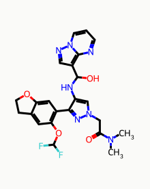 CN(C)C(=O)Cn1cc(NC(O)c2cnn3cccnc23)c(-c2cc3c(cc2OC(F)F)CCO3)n1